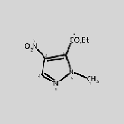 CCOC(=O)c1c([N+](=O)[O-])cnn1C